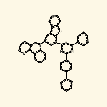 c1ccc(-c2ccc(-c3nc(-c4ccccc4)nc(-c4cc(-c5cc6cccnc6c6ccccc56)cc5c4oc4ccccc45)n3)cc2)cc1